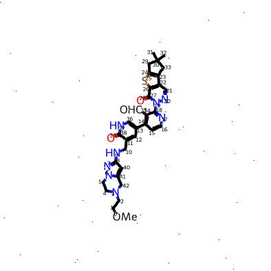 COCCN1CCn2nc(NCc3cc(-c4ccnc(-n5ncc6c7c(sc6c5=O)CC(C)(C)C7)c4C=O)c[nH]c3=O)cc2C1